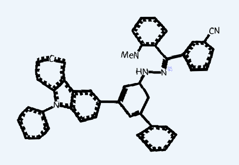 CNc1ccccc1/C(=N\NC1C=C(c2ccc3c(c2)c2ccccc2n3-c2ccccc2)C=C(c2ccccc2)C1)c1cccc(C#N)c1